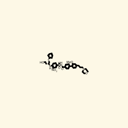 COc1cc(CCCN2CCOCC2)ccc1-c1ccc(C(=O)NS(=O)(=O)c2ccc(N[C@H](CCO)CSc3ccccc3)c([N+](=O)[O-])c2)cc1